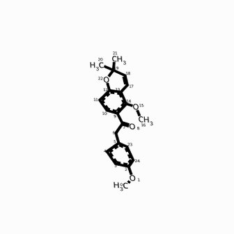 COc1ccc(CC(=O)c2ccc3c(c2OC)C=CC(C)(C)O3)cc1